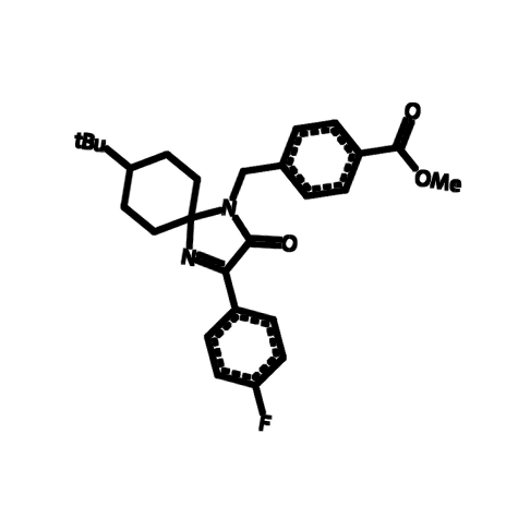 COC(=O)c1ccc(CN2C(=O)C(c3ccc(F)cc3)=NC23CCC(C(C)(C)C)CC3)cc1